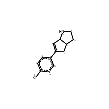 Clc1ccc(C2=CC3NCCC3C2)cn1